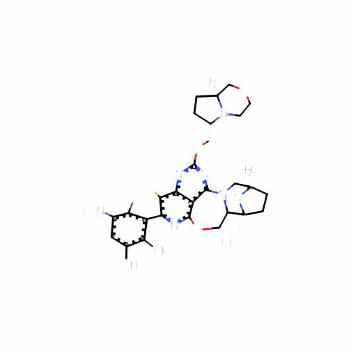 Cc1cc(N)c(Cl)c(-c2nc3c4c(nc(OC[C@@H]5CC[C@H]6COCCN65)nc4c2F)N2C[C@H]4CC[C@H](N4)C2[C@H](C)O3)c1C(F)(F)F